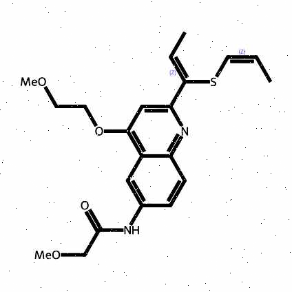 C/C=C\S/C(=C\C)c1cc(OCCOC)c2cc(NC(=O)COC)ccc2n1